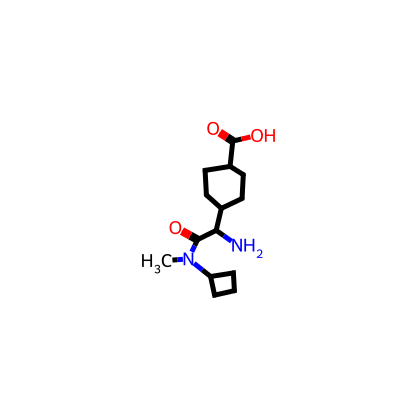 CN(C(=O)C(N)C1CCC(C(=O)O)CC1)C1CCC1